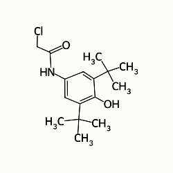 CC(C)(C)c1cc(NC(=O)CCl)cc(C(C)(C)C)c1O